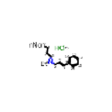 CCCCCCCCCCCCN(CC)CC=Cc1ccccc1.Cl